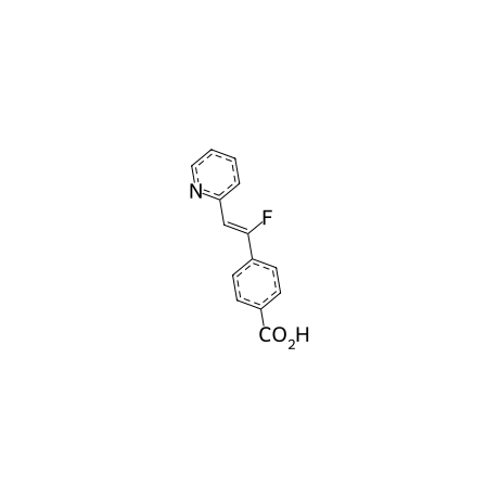 O=C(O)c1ccc(/C(F)=C/c2ccccn2)cc1